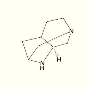 C1CN2CC3CC1[C@@H](C2)N3